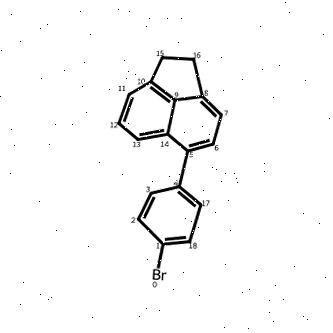 Brc1ccc(-c2ccc3c4c(cccc24)CC3)cc1